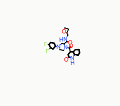 O=C(NCC1CCO1)C1CN(c2ccc(F)c(F)c2)CCN1C(=O)c1cc(=O)[nH]c2ccccc12